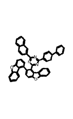 C1=CC(c2ccccc2)CC=C1c1nc(-c2ccc3ccccc3c2)nc(-c2c(-c3cccc4oc5ccccc5c34)ccc3oc4ccccc4c23)n1